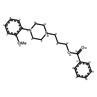 COc1ccccc1N1CCN(CCCOC(=O)c2ccccc2)CC1